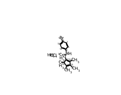 Cl.Cl.[CH2]=[Zr]([NH]c1ccc(Br)cc1)[C]1=C(C)C(C)=C(C)C1C